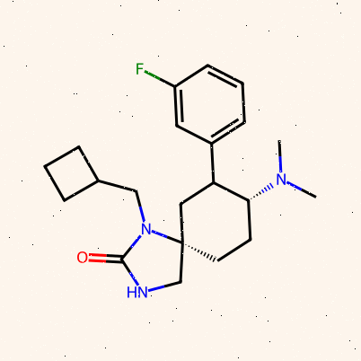 CN(C)[C@@H]1CC[C@@]2(CNC(=O)N2CC2CCC2)CC1c1cccc(F)c1